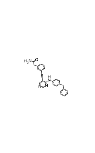 NC(=O)Cc1cccc(C#Cc2cncnc2Nc2ccc(Cc3ccccc3)cc2)c1